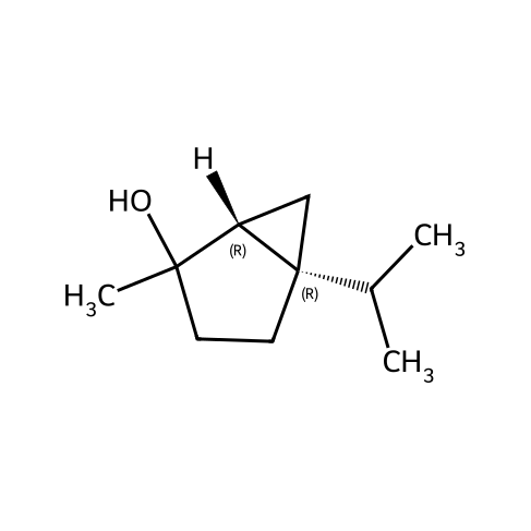 CC(C)[C@]12CCC(C)(O)[C@@H]1C2